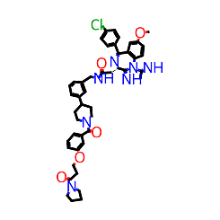 COc1ccc2c(c1)C(c1ccc(Cl)cc1)=N[C@@H](CC(=O)NCc1cccc(C3CCN(C(=O)c4cccc(OCCC(=O)N5CCCC5)c4)CC3)c1)C(=N)N2C(C)=N